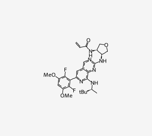 C=CC(=O)N[C@H]1COC[C@H]1Nc1ncc2cc(-c3c(F)c(OC)cc(OC)c3F)nc(N[C@@H](C)C(C)(C)C)c2n1